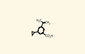 C=C(C)c1cc(C(=O)O)cc(C2CC2)c1